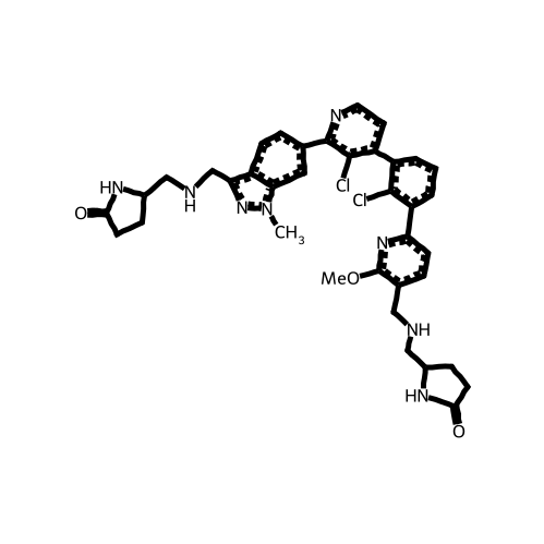 COc1nc(-c2cccc(-c3ccnc(-c4ccc5c(CNCC6CCC(=O)N6)nn(C)c5c4)c3Cl)c2Cl)ccc1CNCC1CCC(=O)N1